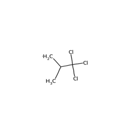 [CH2]C(C)C(Cl)(Cl)Cl